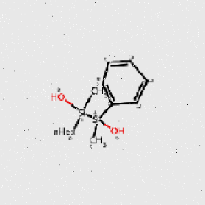 CCCCCC[Si](C)(O)[Si](C)(O)c1ccccc1